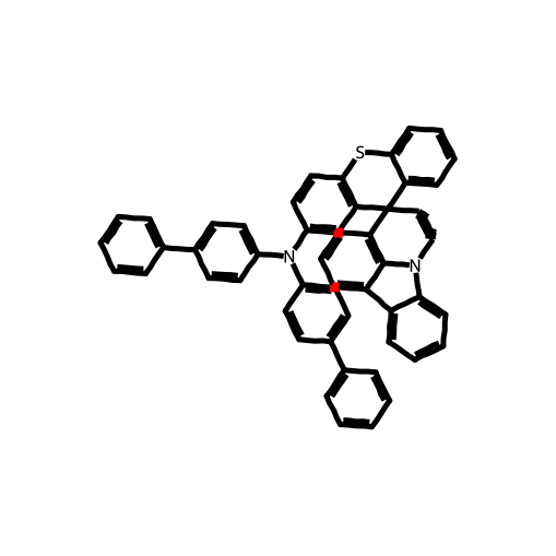 c1ccc(-c2ccc(N(c3ccc(-c4ccccc4)cc3)c3ccc4c(c3)C3(c5ccccc5S4)c4ccccc4-n4c5ccccc5c5cccc3c54)cc2)cc1